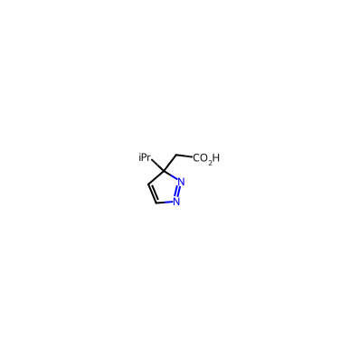 CC(C)C1(CC(=O)O)C=CN=N1